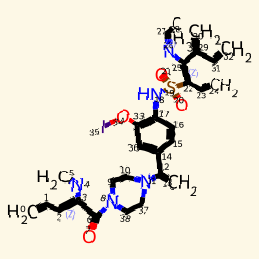 C=C/C=C(\N=C)C(=O)N1CCN(C(=C)c2ccc(NS(=O)(=O)/C(C=C)=C(\N=C/C)C(=C)C=C)c(OI)c2)CC1